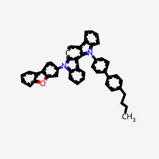 CCCCc1ccc(-c2ccc(-n3c4ccccc4c4ccc5c(c6ccccc6n5-c5ccc6c(c5)oc5ccccc56)c43)cc2)cc1